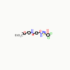 CCOC(=O)c1cc(-c2ccc(NC(=O)c3ccc(C(=O)Nc4nnc(-c5cc(Cl)cc(Cl)c5O)s4)cc3)cc2)oc1C